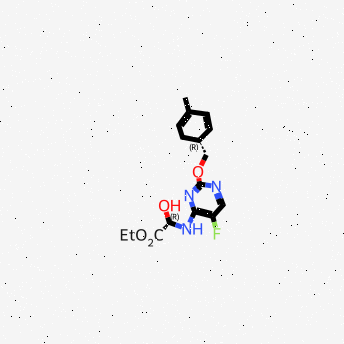 CCOC(=O)[C@@H](O)Nc1nc(OC[C@H]2C=CC(C)=CC2)ncc1F